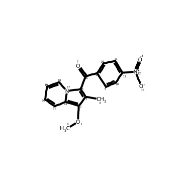 COc1c(C)c(C(=O)c2ccc([N+](=O)[O-])cc2)n2ccccc12